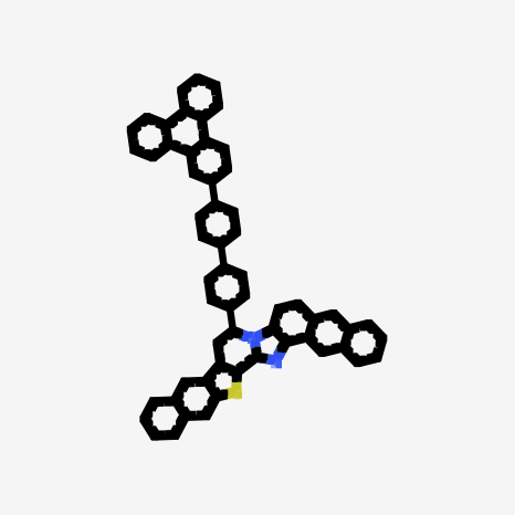 c1ccc2cc3c(ccc4c3nc3c5sc6cc7ccccc7cc6c5cc(-c5ccc(-c6ccc(-c7ccc8c9ccccc9c9ccccc9c8c7)cc6)cc5)n43)cc2c1